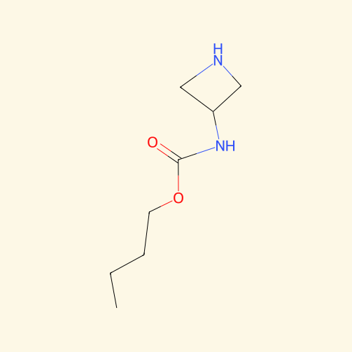 CCCCOC(=O)NC1CNC1